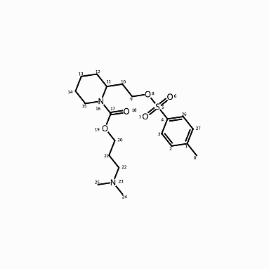 Cc1ccc(S(=O)(=O)OCCC2CCCCN2C(=O)OCCCN(C)C)cc1